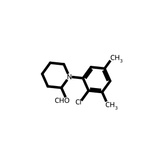 Cc1cc(C)c(Cl)c(N2CCCCC2C=O)c1